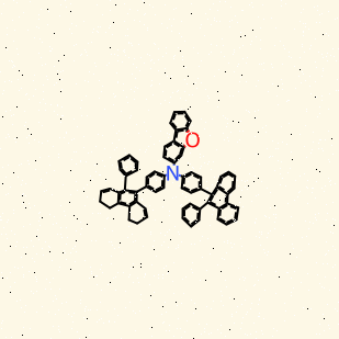 C1=Cc2c(c3c(c(-c4ccc(N(c5ccc(-c6c(-c7ccccc7)c7ccccc7c7ccccc67)cc5)c5ccc6c(c5)oc5ccccc56)cc4)c2-c2ccccc2)C=CCC3)CC1